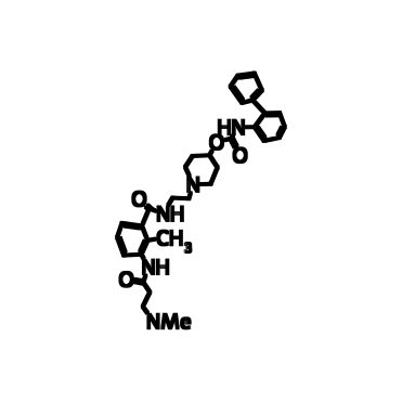 CNCCC(=O)Nc1cccc(C(=O)NCCN2CCC(OC(=O)Nc3ccccc3-c3ccccc3)CC2)c1C